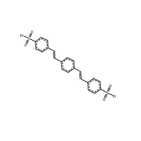 CCS(=O)(=O)c1ccc(/C=C/c2ccc(/C=C/c3ccc(S(=O)(=O)CC)cc3)cc2)cc1